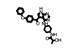 CC(O)C(=O)N[C@H]1CC[C@@H](Nc2ncnc3[nH]cc(C(=O)c4ccc(Oc5ccccc5)cc4)c23)CC1